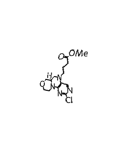 COC(=O)CCCN1C[C@@H]2COCCN2c2nc(Cl)ncc21